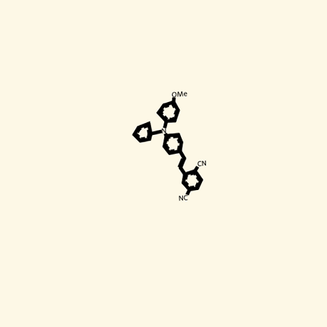 COc1ccc(N(c2ccccc2)c2ccc(C=Cc3cc(C#N)ccc3C#N)cc2)cc1